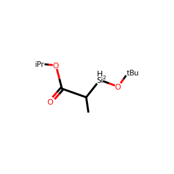 CC(C)OC(=O)C(C)[SiH2]OC(C)(C)C